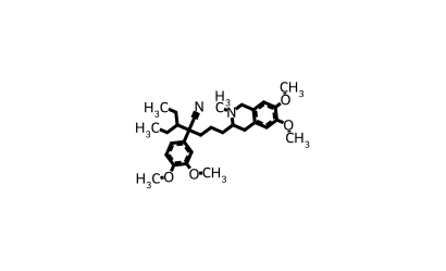 CCC(CC)C(C#N)(CCCC1Cc2cc(OC)c(OC)cc2CN1C)c1ccc(OC)c(OC)c1